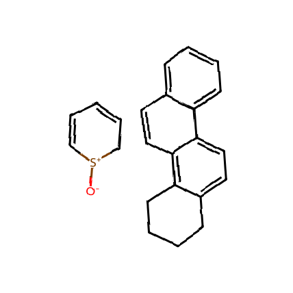 [O-][S+]1C=CC=CC1.c1ccc2c(c1)ccc1c3c(ccc12)CCCC3